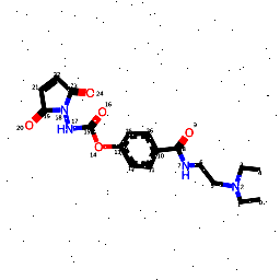 CCN(CC)CCNC(=O)c1ccc(OC(=O)NN2C(=O)C=CC2=O)cc1